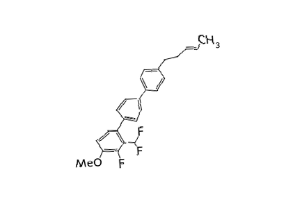 C/C=C/CCc1ccc(-c2ccc(-c3ccc(OC)c(F)c3C(F)F)cc2)cc1